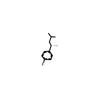 CC(C)C[C@H](C)c1ccc(F)cc1